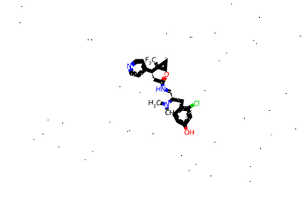 CN(C)[C@H](CNC(=O)C[C@H](c1ccncc1)C1(C(F)(F)F)CC1)Cc1ccc(O)cc1Cl